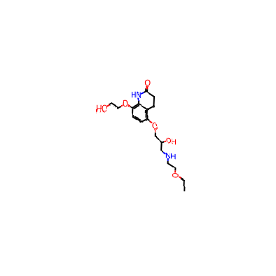 CCOCCNCC(O)COc1ccc(OCCO)c2c1CCC(=O)N2